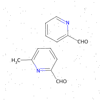 Cc1cccc(C=O)n1.O=Cc1ccccn1